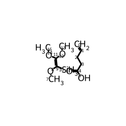 C=CCCC(=O)O.COC([SiH3])=C(OC)OC